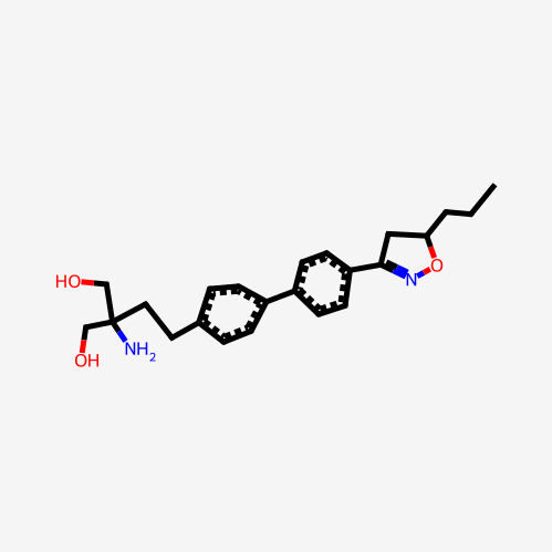 CCCC1CC(c2ccc(-c3ccc(CCC(N)(CO)CO)cc3)cc2)=NO1